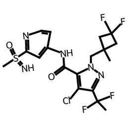 CC1(Cn2nc(C(C)(F)F)c(Cl)c2C(=O)Nc2ccnc(S(C)(=N)=O)c2)CC(F)(F)C1